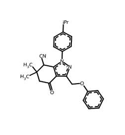 CC(C)c1ccc(-n2nc(COc3ccccc3)c3c2C(C#N)C(C)(C)CC3=O)cc1